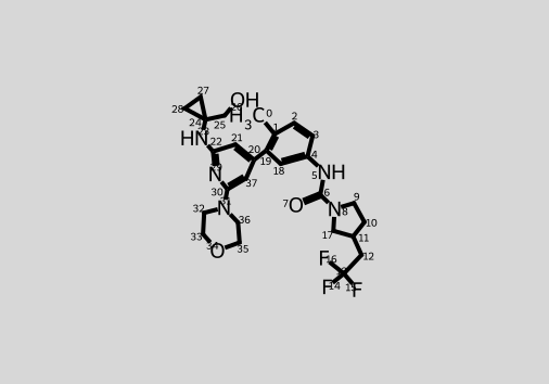 Cc1ccc(NC(=O)N2CCC(CC(F)(F)F)C2)cc1-c1cc(NC2(CO)CC2)nc(N2CCOCC2)c1